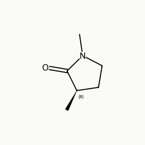 C[C@@H]1CCN(C)C1=O